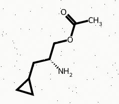 CC(=O)OC[C@H](N)CC1CC1